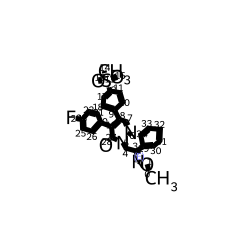 CO/N=C(/Cn1ncc(-c2ccc(S(C)(=O)=O)cc2)c(-c2ccc(F)cc2)c1=O)c1ccccc1